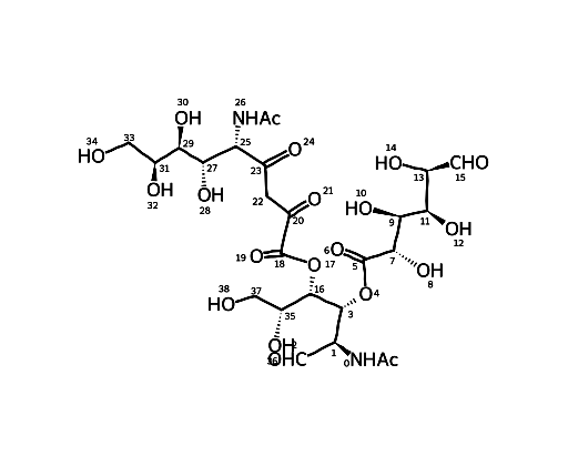 CC(=O)N[C@@H](C=O)[C@@H](OC(=O)[C@@H](O)[C@@H](O)[C@H](O)[C@@H](O)C=O)[C@@H](OC(=O)C(=O)CC(=O)[C@@H](NC(C)=O)[C@H](O)[C@H](O)[C@@H](O)CO)[C@H](O)CO